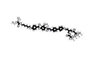 C=C(C)C(=O)OCCCCCCOc1ccc(C(=O)Oc2ccc(OC(=O)/C=C/c3ccc(-c4ccc(OCCC(COC(=O)C(=C)C)COC(=O)C(=C)C)cc4)cc3)c(C)c2)cc1